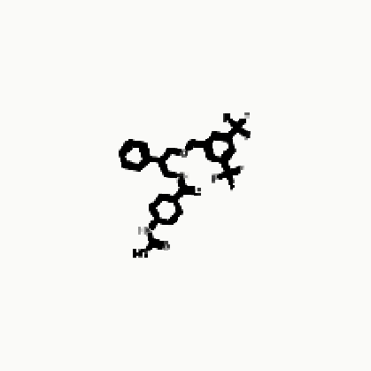 O=C(O)NC1CCC(C(=O)NCC(COCc2cc(C(F)(F)F)cc(C(F)(F)F)c2)c2ccccc2)CC1